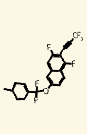 CC1CC=C(C(F)(F)Oc2ccc3c(F)c(C#CC(F)(F)F)c(F)cc3c2)CC1